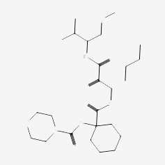 CCCC[C@H](NC(=O)C1(NC(=O)N2CCOCC2)CCCCC1)C(=O)C(=O)NC(COC)C(C)C